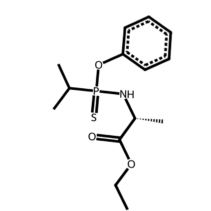 CCOC(=O)[C@@H](C)NP(=S)(Oc1ccccc1)C(C)C